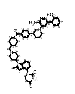 Cc1cc2c(N3CCC(=O)NC3=O)cccc2n1C1CCN(CC2CCN(C(=O)c3ccc([C@@H]4CCCN(c5cc(-c6ccccc6O)nnc5N)C4)cc3)CC2)CC1